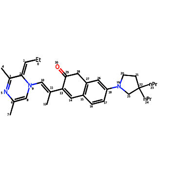 CC/C=C1/C(C)=NC(C)=CN1/C=C(\C)C1=Cc2ccc(N3CCC(CCC)(CCC)C3)cc2CC1=O